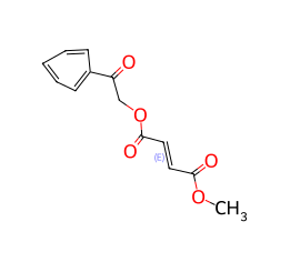 COC(=O)/C=C/C(=O)OCC(=O)c1ccccc1